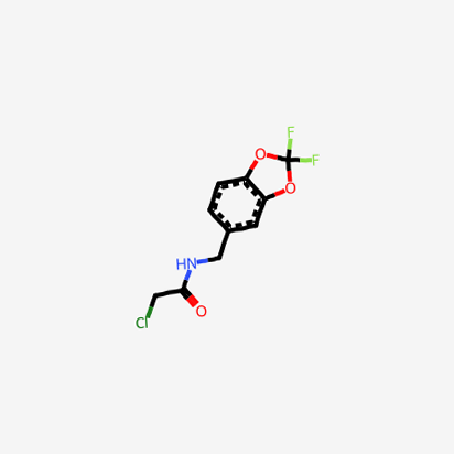 O=C(CCl)NCc1ccc2c(c1)OC(F)(F)O2